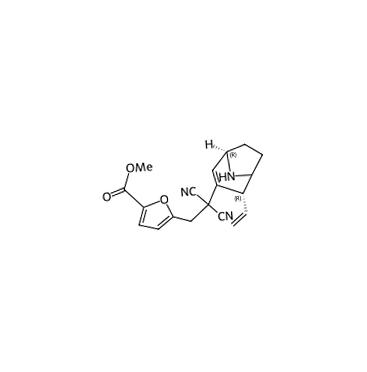 C=C[C@@H]1C(C(C#N)(C#N)Cc2ccc(C(=O)OC)o2)=C[C@H]2CCC1N2